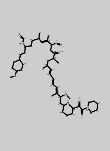 COC1CCC(CCC(CCC(C)/C=C(\C)C(CC(=O)C(C)CC(C)/C=C/C=C/C=C(\C)C(CC2CCCC(C(=O)C(=O)N3CCCCC3)O2)OC)N=O)OC=O)CC1